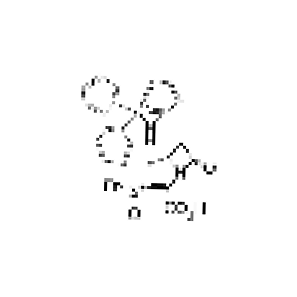 CC[S+]([O-])C1=C(C(=O)O)N2C(=O)CC2C1.c1ccc(C2(c3ccccc3)Nc3cccc2c3)cc1